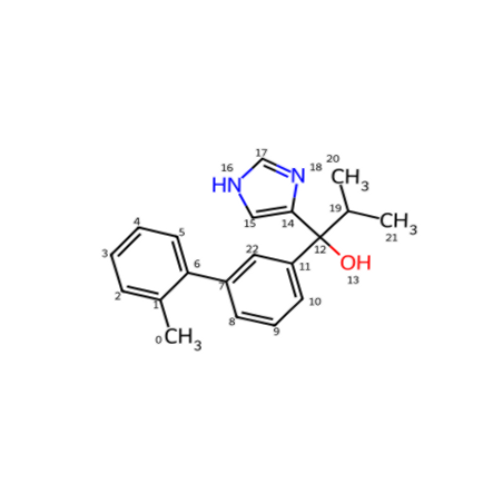 Cc1ccccc1-c1cccc(C(O)(c2c[nH]cn2)C(C)C)c1